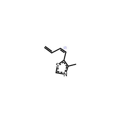 C=C/C=C\c1scnc1C